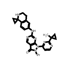 CC(C)n1c(=O)c2cnc(Nc3ccc4c(c3)CCNC43CC3)nc2n1-c1ccnc(C2(C)CC2)n1